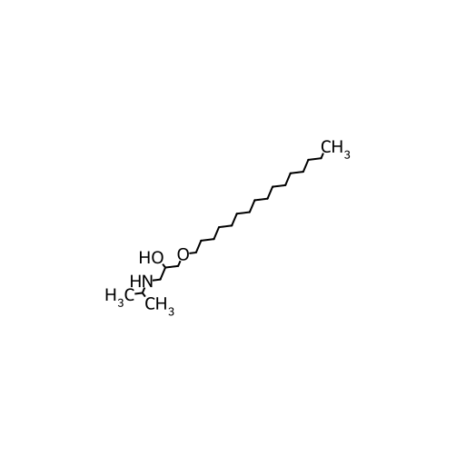 CCCCCCCCCCCCCCCCOCC(O)CNC(C)C